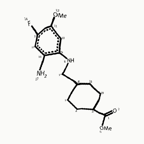 COC(=O)C1CCC(CNc2cc(OC)c(F)cc2N)CC1